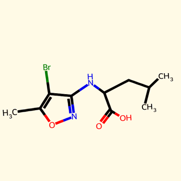 Cc1onc(NC(CC(C)C)C(=O)O)c1Br